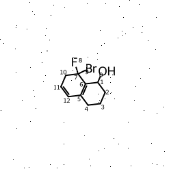 OC1CCCC2=C1C(F)(Br)CC=C2